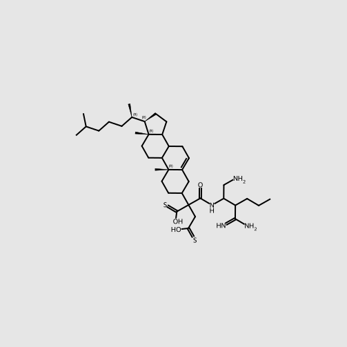 CCCC(C(=N)N)C(CN)NC(=O)C(CC(O)=S)(C(O)=S)C1CC[C@@]2(C)C(=CCC3C2CC[C@@]2(C)C3CC[C@@H]2[C@H](C)CCCC(C)C)C1